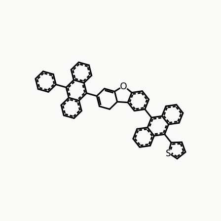 C1=C(c2c3ccccc3c(-c3ccccc3)c3ccccc23)C=C2Oc3ccc(-c4c5ccccc5c(-c5cccs5)c5ccccc45)cc3C2C1